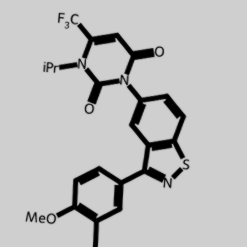 COc1ccc(-c2nsc3ccc(-n4c(=O)cc(C(F)(F)F)n(C(C)C)c4=O)cc23)cc1C